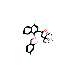 CC(C)(CC(=O)c1cc(F)c2ccccc2c1OCc1ccc(Cl)cc1F)C(=O)O